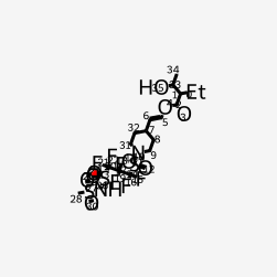 CCC(C(=O)O/C=C/C1CCN(S(=O)(=O)C(F)(F)C(F)(F)C(F)(F)S(=O)(=O)NS(C)(=O)=O)CC1)C(C)O